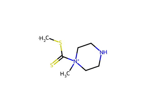 [CH2]SC(=S)[N+]1(C)CCNCC1